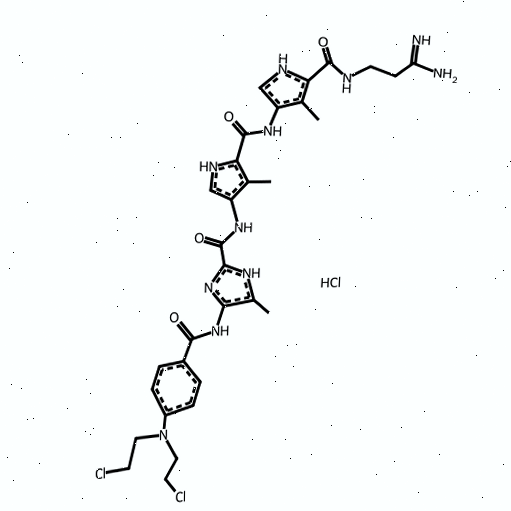 Cc1[nH]c(C(=O)Nc2c[nH]c(C(=O)Nc3c[nH]c(C(=O)NCCC(=N)N)c3C)c2C)nc1NC(=O)c1ccc(N(CCCl)CCCl)cc1.Cl